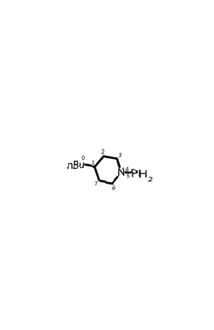 CCCCC1CCN(P)CC1